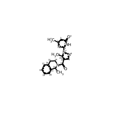 Cc1cc(=O)[nH]c(-n2ncc(C(=O)N3CCc4ccccc4C3C)c2C)n1